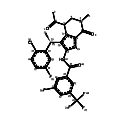 CC(=O)C1CN(C)C(=O)c2nc(NC(=O)c3cc(F)cc(C(F)(F)F)c3)c([C@@H](C)c3cc(F)ccc3Cl)n21